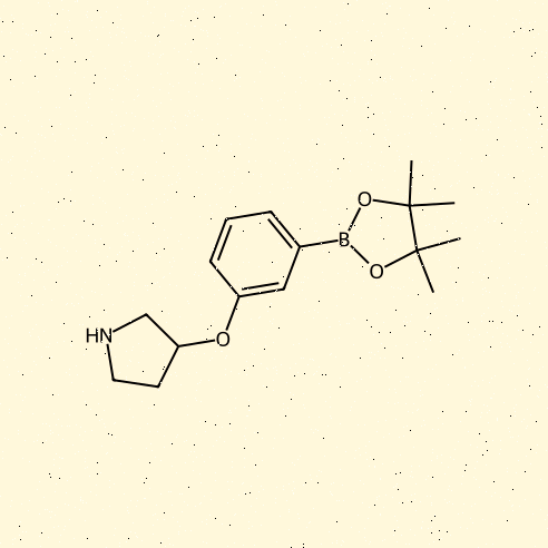 CC1(C)OB(c2cccc(OC3CCNC3)c2)OC1(C)C